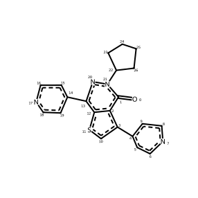 O=c1c2c(-c3ccncc3)csc2c(-c2ccncc2)nn1C1CCCC1